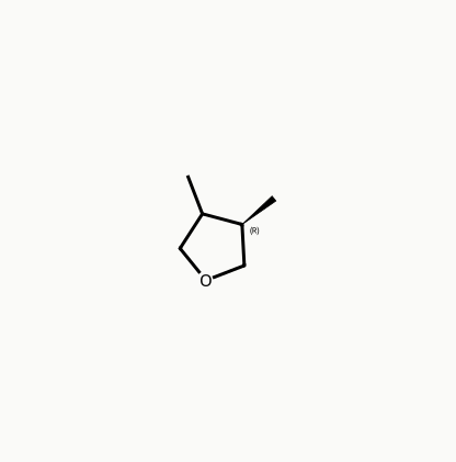 CC1COC[C@@H]1C